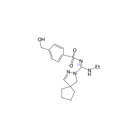 CCN/C(=N/S(=O)(=O)c1ccc(CO)cc1)N1CC2(C=N1)CCCC2